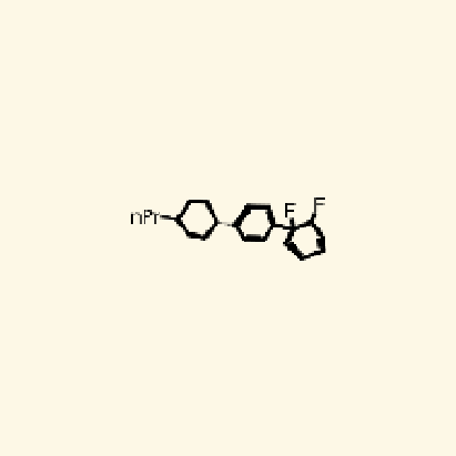 CCC[C@H]1CC[C@H](c2ccc(C3(F)C=CC=CC3F)cc2)CC1